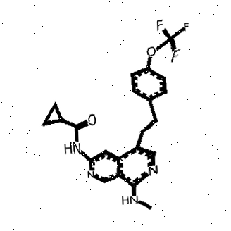 CNc1ncc(CCc2ccc(OC(F)(F)F)cc2)c2cc(NC(=O)C3CC3)ncc12